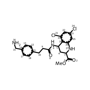 COC(=O)C1CC(NC(=O)CCc2ccc(CN)cc2)c2c(Cl)cc(Cl)cc2N1